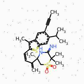 C=C(/C=C\c1sc2cc(C(C)C)c(C#CC)cc2c1C)[C@]1(C)CS(=O)(=O)C(C)(C)C(=N)N1